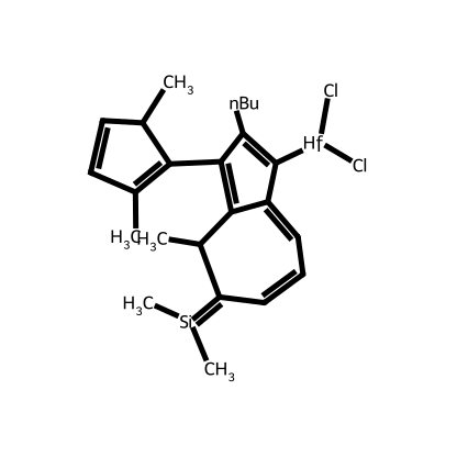 CCCCC1=[C]([Hf]([Cl])[Cl])C2=CC=CC(=[Si](C)C)C(C)C2=C1C1=C(C)C=CC1C